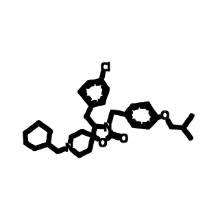 CC(C)COc1ccc(CN2C(=O)OC3(CCN(CC4CCCCC4)CC3)C2Cc2ccc(Cl)cc2)cc1